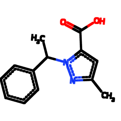 Cc1cc(C(=O)O)n(C(C)c2ccccc2)n1